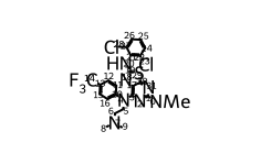 CNc1nc(N(CCN(C)C)c2ccc(C(F)(F)F)cc2)c2nc(Nc3c(Cl)cccc3Cl)sc2n1